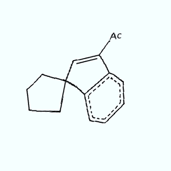 CC(=O)C1=CC2(CCCC2)c2ccccc21